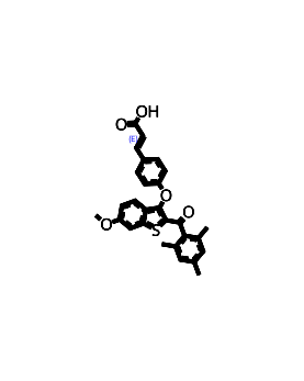 COc1ccc2c(Oc3ccc(/C=C/C(=O)O)cc3)c(C(=O)c3c(C)cc(C)cc3C)sc2c1